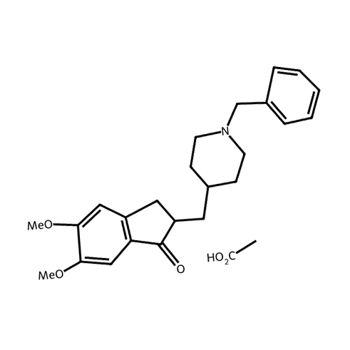 CC(=O)O.COc1cc2c(cc1OC)C(=O)C(CC1CCN(Cc3ccccc3)CC1)C2